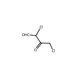 O=CC(Cl)C(=O)CCl